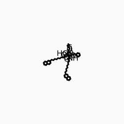 CC(C)(C)[Si](C)(C)OC[C@H]1O[C@@H](OCc2ccccc2)[C@H](NC(=O)CCCCCCCCc2ccc3ccccc3c2)[C@@H](OC(=O)CCCCCCCCc2ccc3ccccc3c2)[C@@H]1O